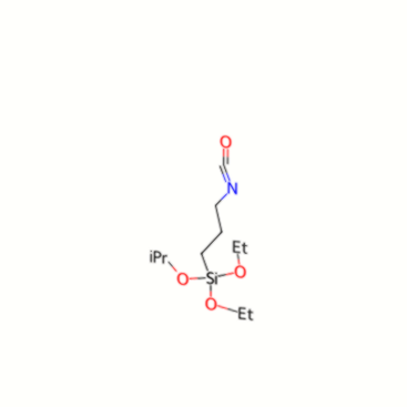 CCO[Si](CCCN=C=O)(OCC)OC(C)C